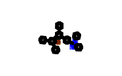 c1ccc(-c2cc(-c3ccccc3)c3sc4c(-c5ccc(-c6nc7ccccc7n6-c6ccccc6)cc5)cc(-c5ccccc5)cc4c3c2)cc1